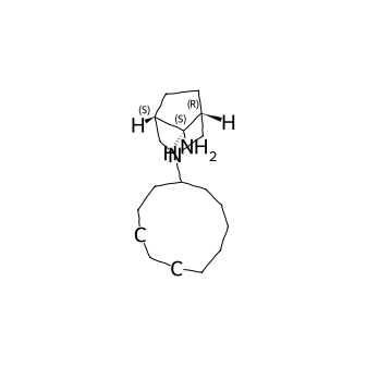 N[C@@H]1[C@@H]2CC[C@H]1CN(C1CCCCCCCCCC1)C2